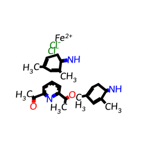 CC(=O)c1cccc(C(C)=O)n1.CC1=CCC(=N)C(C)=C1.CC1=CCC(=N)C(C)=C1.[Cl-].[Cl-].[Fe+2]